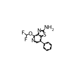 Nc1nc2c(OC(F)F)ncc(-c3ccccc3)c2s1